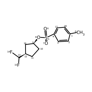 Cc1ccc(S(=O)(=O)O[C@H]2CC[C@@H](C(F)F)C2)cc1